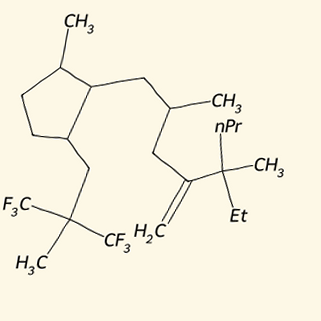 C=C(CC(C)CC1C(C)CCC1CC(C)(C(F)(F)F)C(F)(F)F)C(C)(CC)CCC